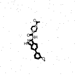 COc1cccc(-c2ccc3c(NC(=O)N4CCN(C(C)=O)CC4)n[nH]c3c2)c1